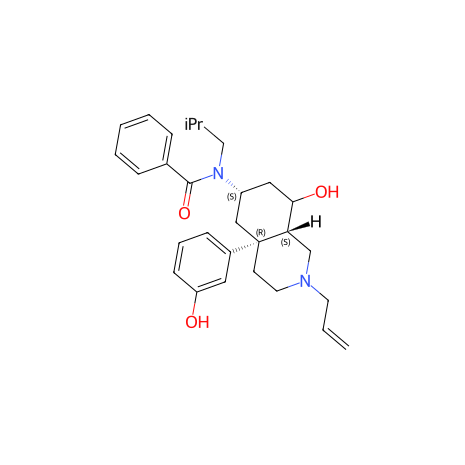 C=CCN1CC[C@@]2(c3cccc(O)c3)C[C@H](N(CC(C)C)C(=O)c3ccccc3)CC(O)[C@@H]2C1